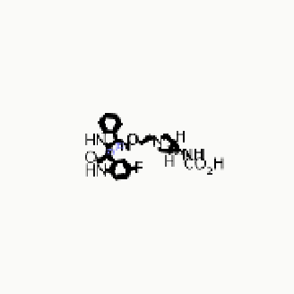 O=C(O)N[C@@H]1[C@@H]2CN(CCO/N=C3/C(=C4/C(=O)Nc5ccc(F)cc54)Nc4ccccc43)C[C@@H]21